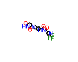 O=C1CCC(N2Cc3ccc(C(=O)NC(=O)c4ccc(C(F)(F)F)nc4)cc3C2)C(=O)N1